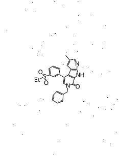 CCS(=O)(=O)c1cccc(-c2cn(Cc3ccccc3)c(=O)c3[nH]c4ncc(C)cc4c23)c1